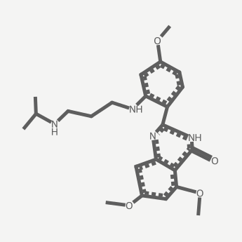 COc1ccc(-c2nc3cc(OC)cc(OC)c3c(=O)[nH]2)c(NCCCNC(C)C)c1